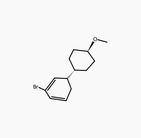 CO[C@H]1CC[C@H](C2C=C(Br)C=CC2)CC1